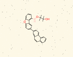 CC(C)(O)C(C)(C)OBc1cccc2oc3ccc(-c4ccc5c(ccc6ccccc65)c4)cc3c12